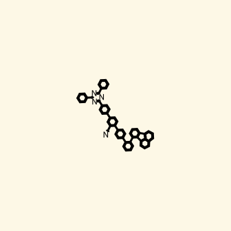 N#Cc1cc(-c2ccc(-c3nc(-c4ccccc4)nc(-c4ccccc4)n3)cc2)ccc1-c1ccc(-c2ccccc2-c2cccc3c2-c2cccc4cccc-3c24)cc1